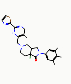 CCOC(=O)C1=C(CN2CCC3(F)C(=O)N(c4cc(C)c(C(=O)O)c(C)c4)CC3C2)NC(c2nccs2)=NC1